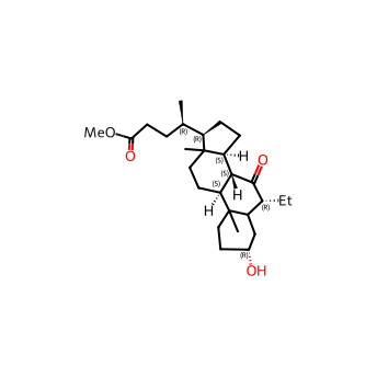 CC[C@H]1C(=O)[C@@H]2[C@H](CCC3(C)[C@@H]([C@H](C)CCC(=O)OC)CC[C@@H]23)C2(C)CC[C@@H](O)CC12